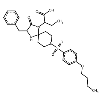 CCCCOc1ccc(S(=O)(=O)N2CCC3(CC2)NC(Cc2ccccc2)C(=O)N3C(CC)C(=O)O)cc1